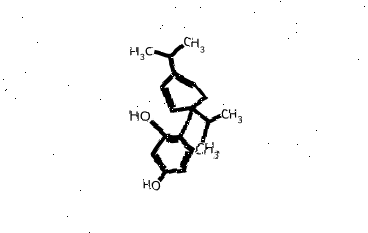 CC(C)C1=CCC(c2ccc(O)cc2O)(C(C)C)C=C1